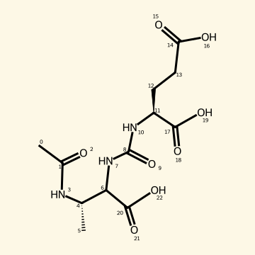 CC(=O)N[C@@H](C)C(NC(=O)N[C@@H](CCC(=O)O)C(=O)O)C(=O)O